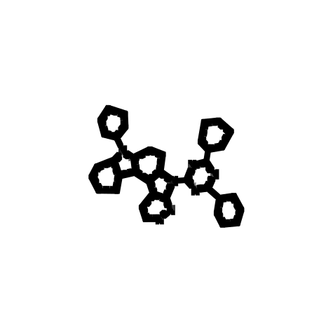 c1ccc(-c2nc(-c3ccccc3)nc(-n3c4ccc5c(c6ccccc6n5-c5ccccc5)c4c4ccnnc43)n2)cc1